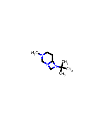 CN1CCC2N(C1)CN2C(C)(C)C